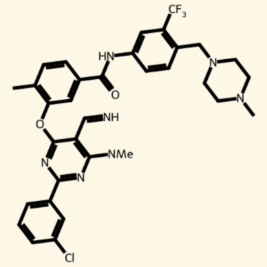 CNc1nc(-c2cccc(Cl)c2)nc(Oc2cc(C(=O)Nc3ccc(CN4CCN(C)CC4)c(C(F)(F)F)c3)ccc2C)c1C=N